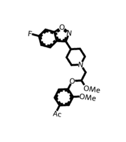 COc1cc(C(C)=O)ccc1OC(CN1CCC(c2noc3cc(F)ccc23)CC1)OC